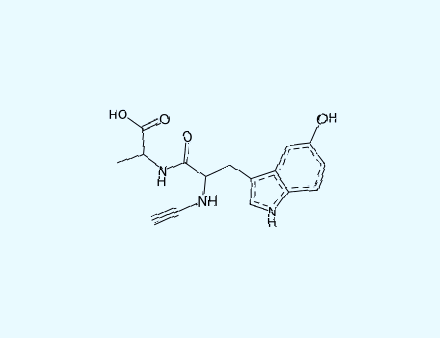 C#CNC(Cc1c[nH]c2ccc(O)cc12)C(=O)NC(C)C(=O)O